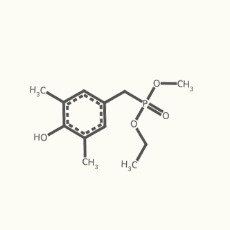 CCOP(=O)(Cc1cc(C)c(O)c(C)c1)OC